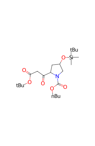 CCCCOC(=O)N1CC(O[Si](C)(C)C(C)(C)C)CC1C(=O)CC(=O)OC(C)(C)C